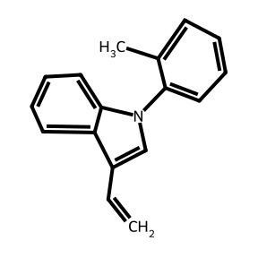 C=Cc1cn(-c2ccccc2C)c2ccccc12